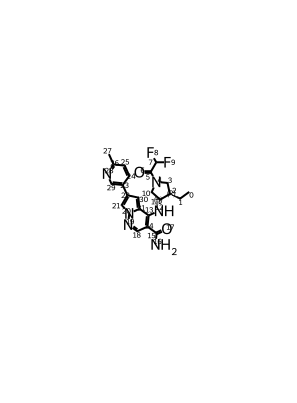 CC[C@@H]1CN(C(=O)C(F)F)C[C@H]1Nc1c(C(N)=O)cnn2cc(-c3ccc(C)nc3)cc12